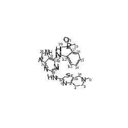 CN1CCc2nc(Nc3nc(Nc4ccccc4P(C)(C)=O)c4[nH]cnc4n3)sc2C1